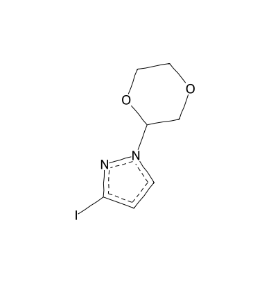 Ic1ccn(C2COCCO2)n1